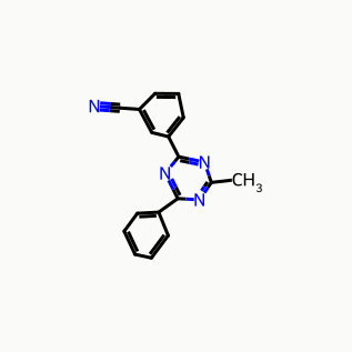 Cc1nc(-c2ccccc2)nc(-c2cccc(C#N)c2)n1